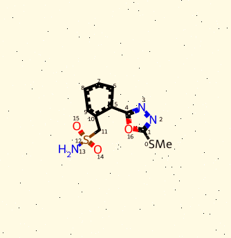 CSc1nnc(-c2ccccc2CS(N)(=O)=O)o1